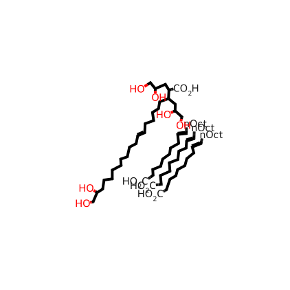 CCCCCCCCC=CCCCCCCCC(=O)O.CCCCCCCCC=CCCCCCCCC(=O)O.CCCCCCCCC=CCCCCCCCC(=O)O.O=C(O)C(CC(O)CO)C(CCCCCC=CCCCCCCCCCC(O)CO)CC(O)CO